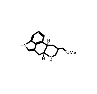 COCC1CN[C@@H]2Cc3c[nH]c4cccc(c34)[C@H]2C1